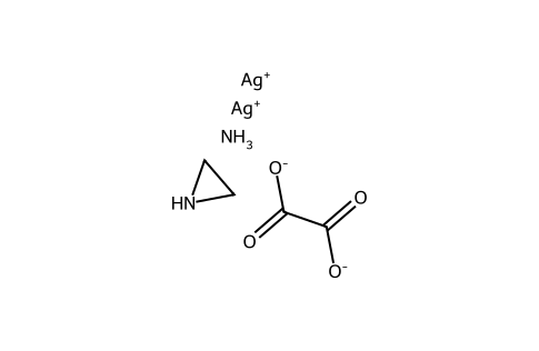 C1CN1.N.O=C([O-])C(=O)[O-].[Ag+].[Ag+]